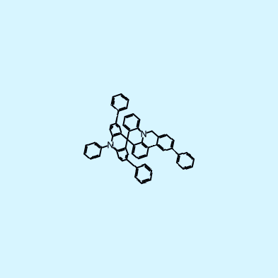 c1ccc(-c2ccc3c(c2)-c2cccc4c2N(C3)c2ccccc2C42c3cc(-c4ccccc4)ccc3N(c3ccccc3)c3ccc(-c4ccccc4)cc32)cc1